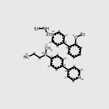 CCNCC.CCOc1ccccc1-c1ccncc1.CN(CCC#N)c1ccc(-c2ccncc2)cc1